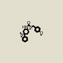 COc1ccc(CN2C[C@]3(CC[C@@](c4ccccc4)(N(C)C)CC3)NC2=O)cc1